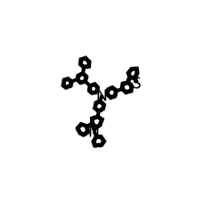 c1ccc(-c2cc(-c3ccccc3)cc(-c3ccc(N(c4ccc(-c5ccc6sc7ccccc7c6c5)cc4)c4ccc(-c5ccc6c(c5)c5ccccc5n6-c5ccccc5)cc4)cc3)c2)cc1